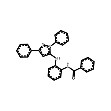 O=C(Nc1ccccc1Nc1cc(-c2ccccc2)nn1-c1ccccc1)c1ccccc1